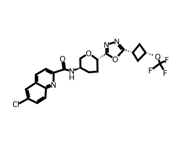 O=C(N[C@@H]1CC[C@@H](c2nnc([C@H]3C[C@@H](OC(F)(F)F)C3)o2)OC1)c1ccc2cc(Cl)ccc2n1